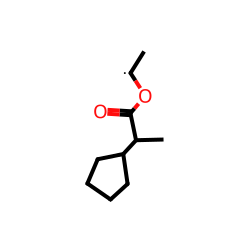 C[CH]OC(=O)C(C)C1CCCC1